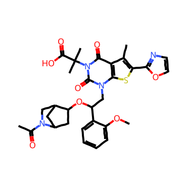 COc1ccccc1C(Cn1c(=O)n(C(C)(C)C(=O)O)c(=O)c2c(C)c(-c3ncco3)sc21)OC1CC2CC1CN2C(C)=O